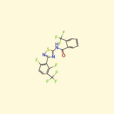 O=C(Nc1nc(-c2c(F)ccc(C(F)(F)F)c2F)ns1)c1ccccc1C(F)(F)F